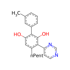 CCCCCc1cc(O)c(-c2cccc(C)c2)c(O)c1-c1ccncn1